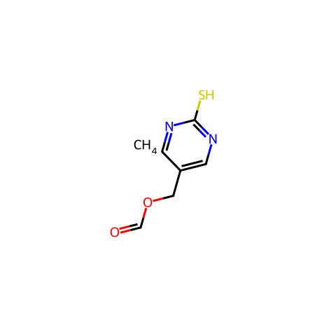 C.O=COCc1cnc(S)nc1